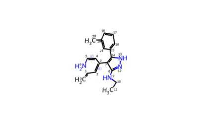 C=C/C=C(\C=C/N)c1c(NCC)n[nH]c1-c1cccc(C)c1